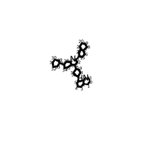 C1=Cc2cccc(-c3ccc(-c4cc(-c5ccc6ccccc6c5)nc5cc(-c6ccccc6)ccc45)cc3)c2NC1